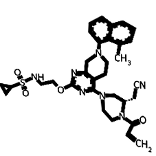 C=CC(=O)N1CCN(c2nc(OCCNS(=O)(=O)C3CC3)nc3c2CCN(c2cccc4cccc(C)c24)C3)C[C@@H]1CC#N